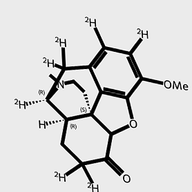 [2H]c1c([2H])c2c3c(c1OC)OC1C(=O)C([2H])([2H])C[C@@H]4[C@@]31CCN(C)[C@]4([2H])C2([2H])[2H]